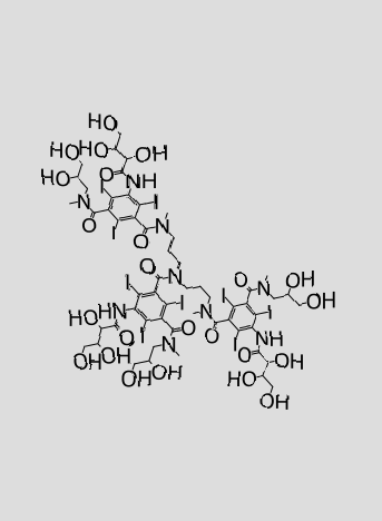 CN(CCCN(CCCN(C)C(=O)c1c(I)c(NC(=O)C(O)C(O)CO)c(I)c(C(=O)N(C)CC(O)CO)c1I)C(=O)c1c(I)c(NC(=O)C(O)C(O)CO)c(I)c(C(=O)N(C)CC(O)CO)c1I)C(=O)c1c(I)c(NC(=O)C(O)C(O)CO)c(I)c(C(=O)N(C)CC(O)CO)c1I